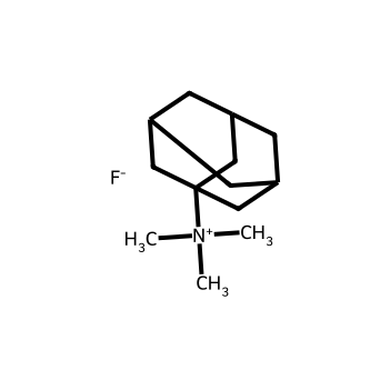 C[N+](C)(C)C12CC3CC(CC(C3)C1)C2.[F-]